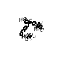 Cc1cc(Cc2c(-c3ccc(NC(=O)C4CCC(=O)N4)cc3)sc3cc(O)ccc23)ccc1CN1CCCC1.O=C(O)C(=O)O